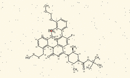 COCOc1cccc(-c2nc3c(cc2F)c(N2C[C@@H](C)N(C(=O)OC(C)(C)C)C[C@@H]2C)nc(=O)n3-c2c(CCCO)ccnc2C(C)C)c1O